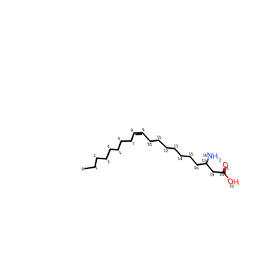 CCCCCCCC/C=C\CCCCCCCC(N)CC(=O)O